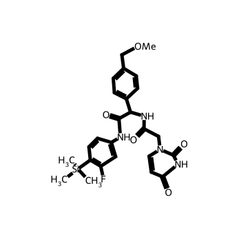 COCc1ccc(C(NC(=O)Cn2ccc(=O)[nH]c2=O)C(=O)Nc2ccc([Si](C)(C)C)c(F)c2)cc1